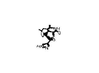 Cc1[nH]c(=O)c2sc(-c3cn[nH]c3)c3c2c1CC(C)O3